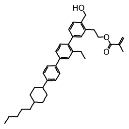 C=C(C)C(=O)OCCc1cc(-c2ccc(-c3ccc(C4CCC(CCCCC)CC4)cc3)cc2CC)ccc1CO